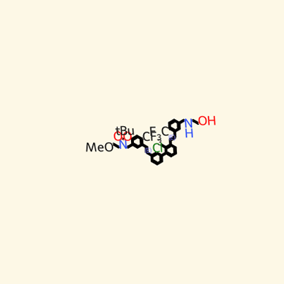 COCCN(Cc1ccc(C(F)(F)F)c(/C=C/c2cccc(-c3cccc(/C=C/c4cc(CNCCO)ccc4C(F)(F)F)c3C)c2Cl)c1)C(=O)OC(C)(C)C